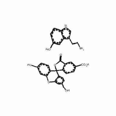 NCCc1c[nH]c2ccc(O)cc12.O=C(O)c1ccc2c(c1)C(=O)OC21c2ccc(O)cc2Oc2cc(O)ccc21